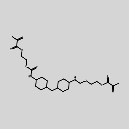 C=C(C)C(=O)OCCOCNC1CCC(CC2CCC(NC(=O)OCCOC(=O)C(=C)C)CC2)CC1